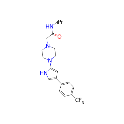 CC(C)NC(=O)CN1CCN(c2cc(-c3ccc(C(F)(F)F)cc3)c[nH]2)CC1